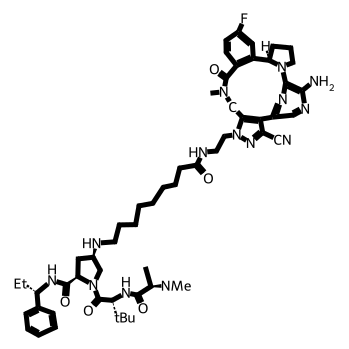 CC[C@H](NC(=O)[C@H]1C[C@@H](NCCCCCCCCC(=O)NCCn2nc(C#N)c3c2CN(C)C(=O)c2ccc(F)cc2[C@H]2CCCN2c2nc-3cnc2N)CN1C(=O)[C@H](NC(=O)[C@@H](C)NC)C(C)(C)C)c1ccccc1